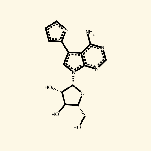 Nc1ncnc2c1c(-c1cccs1)cn2[C@@H]1O[C@H](CO)C(O)[C@@H]1O